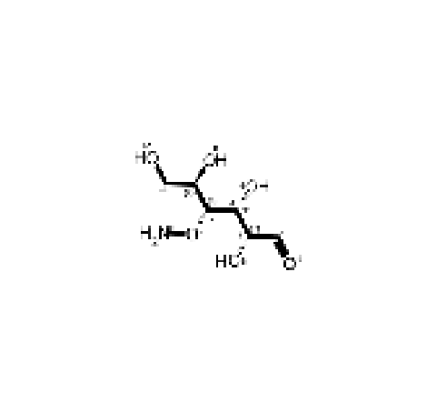 NO[C@@H]([C@H](O)[C@@H](O)C=O)[C@H](O)CO